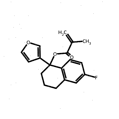 C=C(C)C(=O)OC1(c2ccoc2)CCCc2cc(F)ccc21